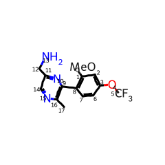 COc1cc(OC(F)(F)F)ccc1-c1nc(CN)cnc1C